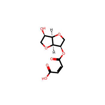 O=C(O)/C=C\C(=O)O[C@@H]1CO[C@H]2[C@@H]1OC[C@H]2O